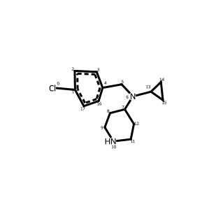 Clc1ccc(CN(C2CCNCC2)C2CC2)cc1